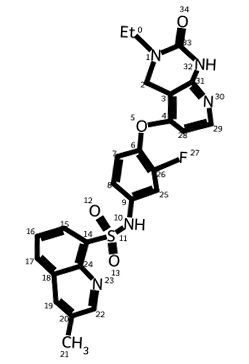 CCN1Cc2c(Oc3ccc(NS(=O)(=O)c4cccc5cc(C)cnc45)cc3F)ccnc2NC1=O